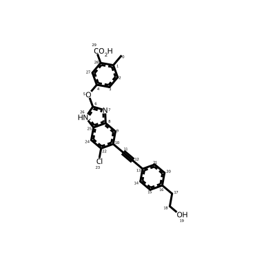 Cc1ccc(Oc2nc3cc(C#Cc4ccc(CCO)cc4)c(Cl)cc3[nH]2)cc1C(=O)O